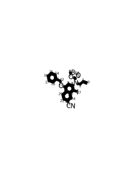 C=CCN(C(=O)OC(C)(C)C)c1cc(OCc2ccccc2)c2ccc(C#N)cc2c1I